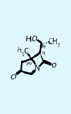 C[C@@H](O)[C@H]1C(=O)N2CC(=O)C[C@]12C